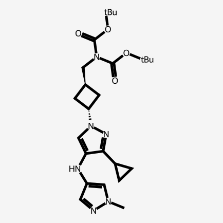 Cn1cc(Nc2cn([C@H]3C[C@H](CN(C(=O)OC(C)(C)C)C(=O)OC(C)(C)C)C3)nc2C2CC2)cn1